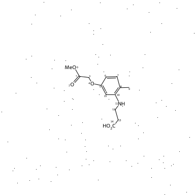 COC(=O)COc1ccc(C)c(NCCC(=O)O)c1